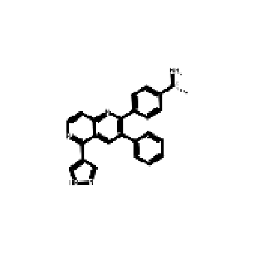 C[C@@H](N)c1ccc(-c2nc3ccnc(-c4cn[nH]c4)c3cc2-c2ccccc2)cc1